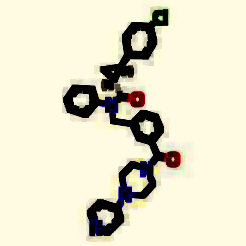 O=C(c1cccc(CN(C(=O)[C@@H]2C[C@H]2c2ccc(Cl)cc2)c2ccccc2)c1)N1CCN(c2ccncc2)CC1